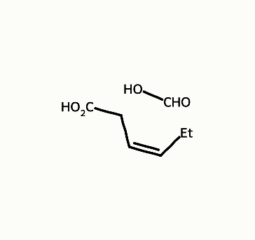 CC/C=C\CC(=O)O.O=CO